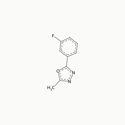 Cc1nnc(-c2cc[c]c(F)c2)o1